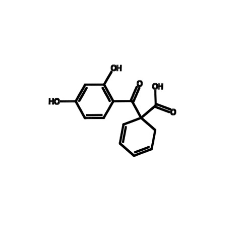 O=C(O)C1(C(=O)c2ccc(O)cc2O)C=CC=CC1